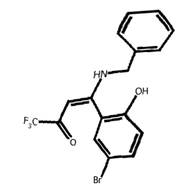 O=C(C=C(NCc1ccccc1)c1cc(Br)ccc1O)C(F)(F)F